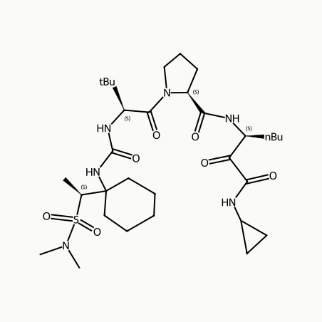 CCCC[C@H](NC(=O)[C@@H]1CCCN1C(=O)[C@@H](NC(=O)NC1([C@H](C)S(=O)(=O)N(C)C)CCCCC1)C(C)(C)C)C(=O)C(=O)NC1CC1